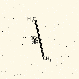 CCCCCCCCCCCCCCCCCC.O=[N+]([O-])O